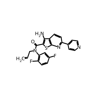 C=CCN(C(=O)c1sc2nc(-c3ccncc3)ccc2c1N)c1cc(F)ccc1F